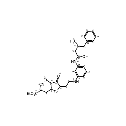 CCOC(=O)C(C#N)CC1SC(CCNc2cccc(NC(=O)CN(C)Cc3ccccc3)c2)C(=O)N1CC